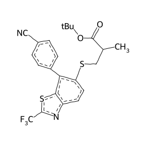 CC(CSc1ccc2nc(C(F)(F)F)sc2c1-c1ccc(C#N)cc1)C(=O)OC(C)(C)C